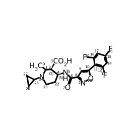 CC1[C@@H](C(=O)O)[C@@H](NC(=O)c2cc(-c3c(F)cc(F)cc3F)on2)CCN1C1CC1